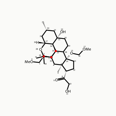 COCO[C@@H]1C[C@]2(C)[C@@H](C(=O)CO)CC[C@]2(OCOC)C2CC[C@]3(O)C[C@@H](C)C[C@H]4OC(C)(C)OC[C@]43C21